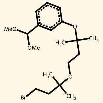 COC(OC)c1cccc(OC(C)(C)CCOC(C)(C)CCBr)c1